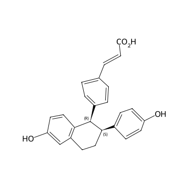 O=C(O)C=Cc1ccc([C@@H]2c3ccc(O)cc3CC[C@@H]2c2ccc(O)cc2)cc1